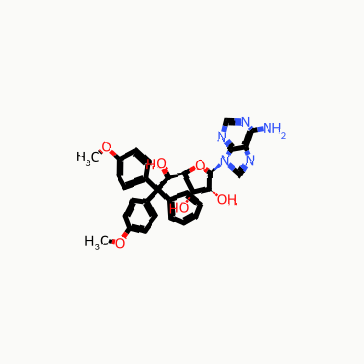 COc1ccc(C(c2ccccc2)(c2ccc(OC)cc2)C(O)[C@H]2O[C@@H](n3cnc4c(N)ncnc43)[C@H](O)[C@@H]2O)cc1